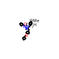 COc1ccc(/C=C2/C(Cc3ccc(OCc4ccccc4)cc3)N(C)/C(=N/C(=O)c3ccccc3)N2C(=O)O)cc1